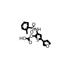 Cc1ccccc1S(=O)(=O)Nc1cc(-c2ccoc2)sc1OC(=O)O